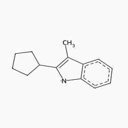 CC1=C(C2CCCC2)[N]c2ccccc21